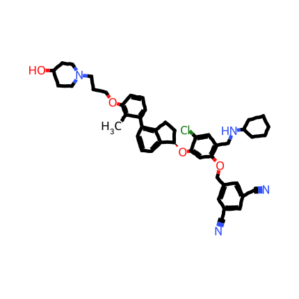 Cc1c(OCCCN2CCC(O)CC2)cccc1-c1cccc2c1CC[C@@H]2Oc1cc(OCc2cc(C#N)cc(C#N)c2)c(CNC2CCCCC2)cc1Cl